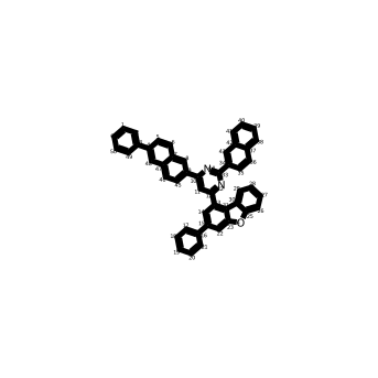 c1ccc(-c2ccc3cc(-c4cc(-c5cc(-c6ccccc6)cc6oc7ccccc7c56)nc(-c5ccc6ccccc6c5)n4)ccc3c2)cc1